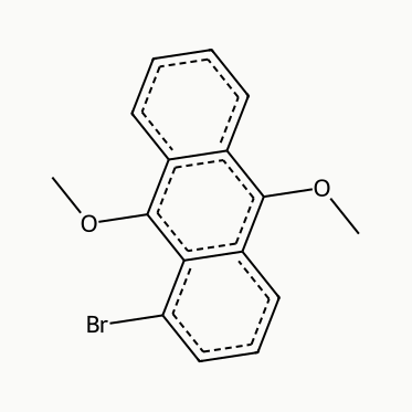 COc1c2ccccc2c(OC)c2c(Br)cccc12